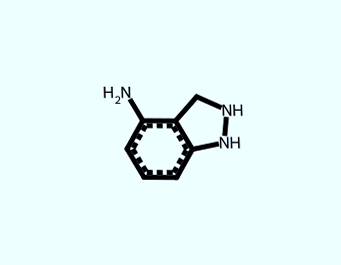 Nc1cccc2c1CNN2